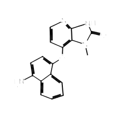 Cn1c(=O)[nH]c2nccc(Oc3ccc(N)c4ccccc34)c21